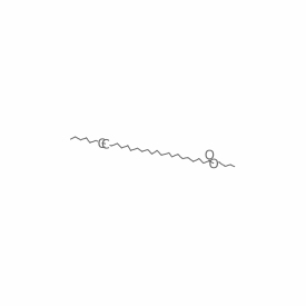 CCCCCCCCCCCCCCCCCCCCCCCCCCCC(=O)OCCCC